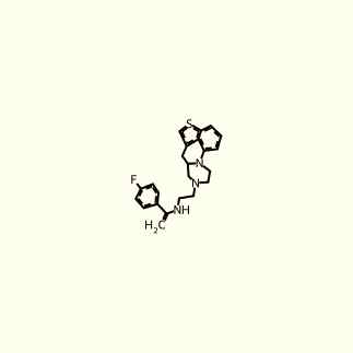 C=C(NCCN1CCN2c3cccc4scc(c34)CC2C1)c1ccc(F)cc1